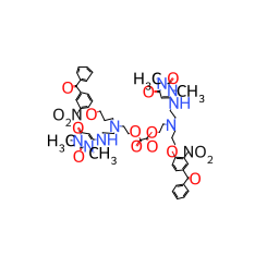 Cn1c(NCCN(CCCOc2ccc(C(=O)c3ccccc3)cc2[N+](=O)[O-])CCOC(=O)C(=O)OCCN(CCCOc2ccc(C(=O)c3ccccc3)cc2[N+](=O)[O-])CCNc2cc(=O)n(C)c(=O)n2C)cc(=O)n(C)c1=O